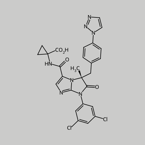 C[C@@]1(Cc2ccc(-n3ccnn3)cc2)C(=O)N(c2cc(Cl)cc(Cl)c2)c2ncc(C(=O)NC3(C(=O)O)CC3)n21